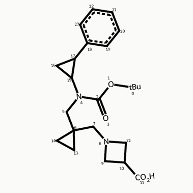 CC(C)(C)OC(=O)N(CC1(CN2CC(C(=O)O)C2)CC1)C1CC1c1ccccc1